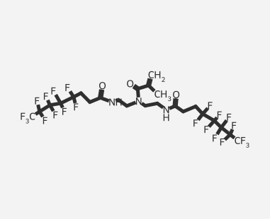 C=C(C)C(=O)N(CCNC(=O)CCC(F)(F)C(F)(F)C(F)(F)C(F)(F)C(F)(F)F)CCNC(=O)CCC(F)(F)C(F)(F)C(F)(F)C(F)(F)C(F)(F)F